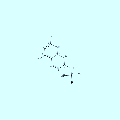 Cc1cc(C)c2ccc(OC(F)(F)F)cc2n1